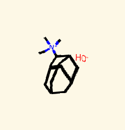 C[N+](C)(C)C1C2CC3CC(C2)CC1C3.[OH-]